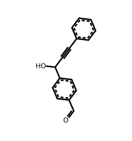 O=Cc1ccc(C(O)C#Cc2ccccc2)cc1